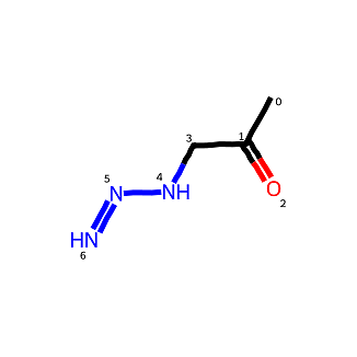 CC(=O)CNN=N